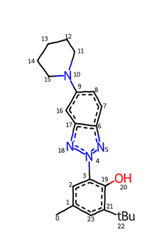 Cc1cc(-n2nc3ccc(N4CCCCC4)cc3n2)c(O)c(C(C)(C)C)c1